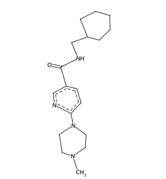 CN1CCN(c2ccc(C(=O)NCC3CCCCC3)cn2)CC1